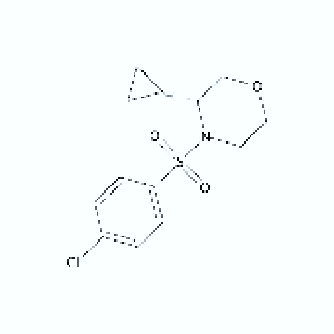 O=S(=O)(c1ccc(Cl)cc1)N1CCOC[C@H]1C1CC1